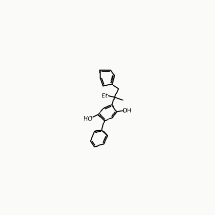 CCC(C)(Cc1ccccc1)c1cc(O)c(-c2ccccc2)cc1O